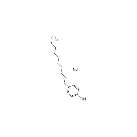 CCCCCCCCCCc1ccc(O)cc1.[Nd]